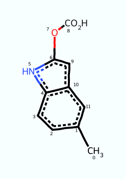 Cc1ccc2[nH]c(OC(=O)O)cc2c1